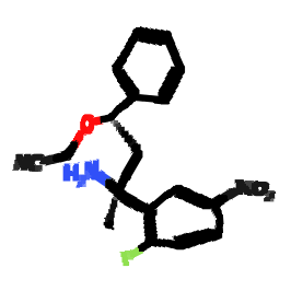 C[C@](N)(C[C@H](OCC#N)c1ccccc1)c1cc([N+](=O)[O-])ccc1F